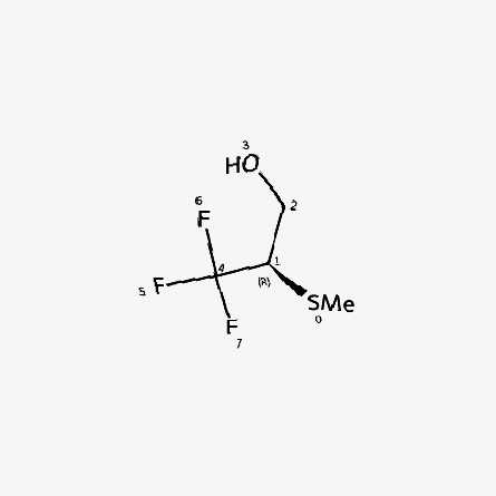 CS[C@H](CO)C(F)(F)F